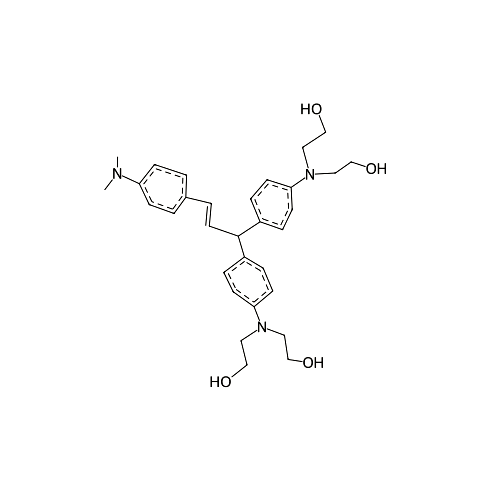 CN(C)c1ccc(/C=C/C(c2ccc(N(CCO)CCO)cc2)c2ccc(N(CCO)CCO)cc2)cc1